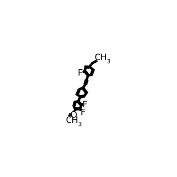 CCCc1ccc(C#Cc2ccc(-c3ccc(OCC)c(F)c3F)cc2)c(F)c1